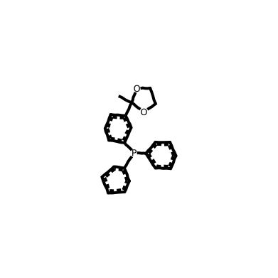 CC1(c2cccc(P(c3ccccc3)c3ccccc3)c2)OCCO1